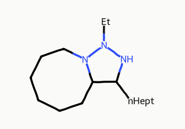 CCCCCCCC1NN(CC)N2CCCCCCC12